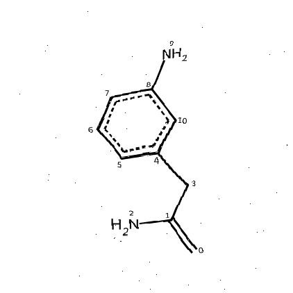 C=C(N)Cc1cccc(N)c1